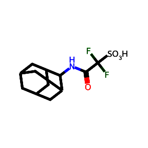 O=C(NC1C2CC3CC(C2)CC1C3)C(F)(F)S(=O)(=O)O